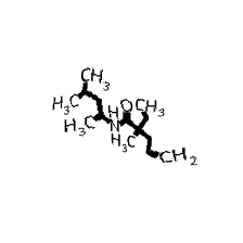 C=CCC(C)(CC)C(=O)NC(C)CC(C)C